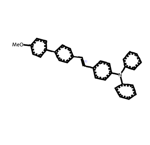 COc1ccc(-c2ccc(/C=C/c3ccc(N(c4ccccc4)c4ccccc4)cc3)cc2)cc1